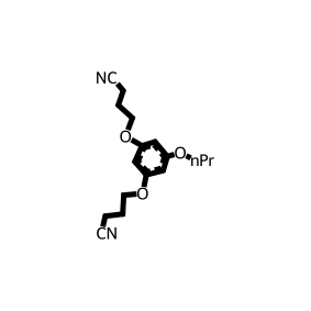 CCCOc1cc(OCCCC#N)cc(OCCCC#N)c1